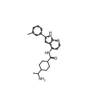 Cc1cccc(-c2cc3c(NC(=O)C4CCC(C(C)N)CC4)ccnc3[nH]2)c1